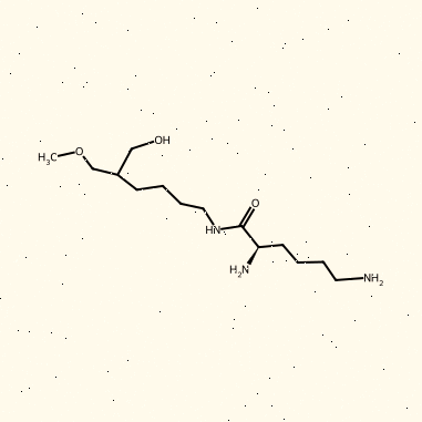 COCC(CO)CCCCNC(=O)[C@H](N)CCCCN